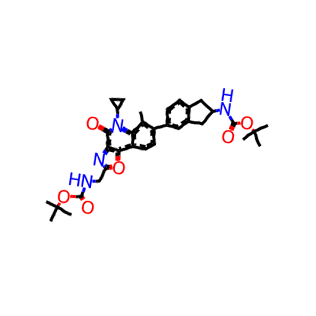 Cc1c(-c2ccc3c(c2)CC(NC(=O)OC(C)(C)C)C3)ccc2c3oc(CNC(=O)OC(C)(C)C)nc3c(=O)n(C3CC3)c12